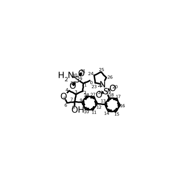 CC(CC1COCC1(O)c1ccc(-c2ccccc2S(=O)(=O)N2CCCC2)cc1)S(N)(=O)=O